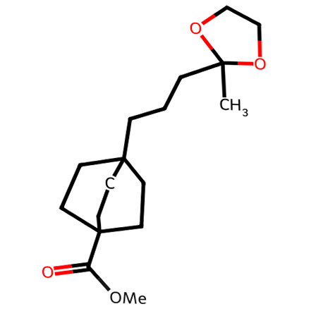 COC(=O)C12CCC(CCCC3(C)OCCO3)(CC1)CC2